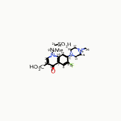 CNn1cc(C(=O)O)c(=O)c2cc(F)c(N3CCN(C)CC3)cc21.CS(=O)(=O)O